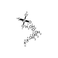 O.O.O.O.O.O=S([O-])([O-])=S.[K+].[K+]